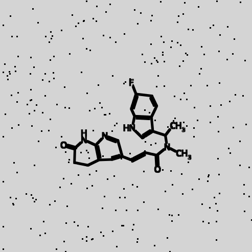 CC(c1c[nH]c2cc(F)ccc12)N(C)C(=O)/C=C/c1cnc2c(c1)CCC(=O)N2